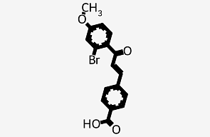 COc1ccc(C(=O)/C=C/c2ccc(C(=O)O)cc2)c(Br)c1